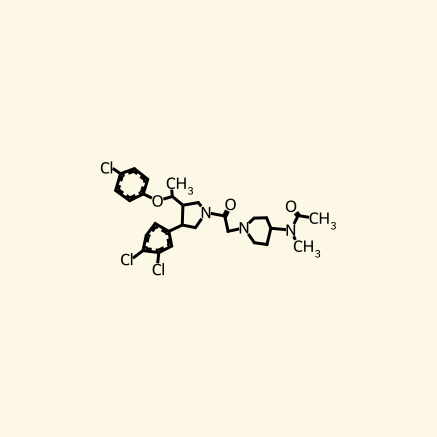 CC(=O)N(C)C1CCN(CC(=O)N2CC(c3ccc(Cl)c(Cl)c3)C(C(C)Oc3ccc(Cl)cc3)C2)CC1